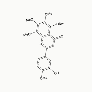 COc1ccc(-c2cc(=O)c3c(OC)c(OC)c(OC)c(OC)c3o2)cc1O